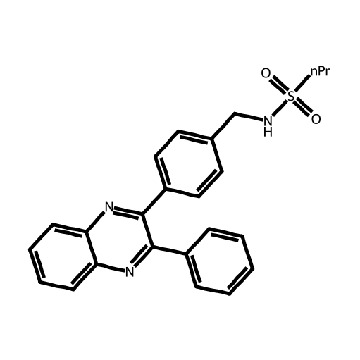 CCCS(=O)(=O)NCc1ccc(-c2nc3ccccc3nc2-c2ccccc2)cc1